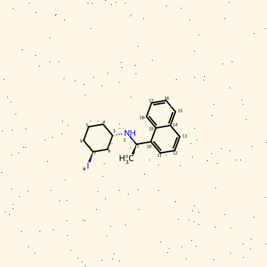 C[C@@H](N[C@H]1CCC[C@H](I)C1)c1cccc2ccccc12